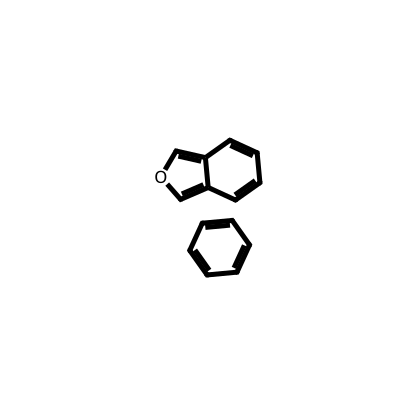 c1ccc2cocc2c1.c1ccccc1